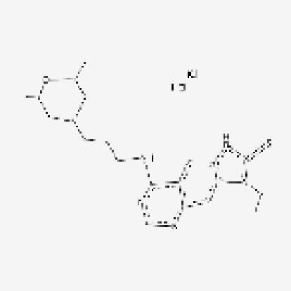 CCn1c(=S)[nH]c2cc3c(NCCCN4CC(C)OC(C)C4)ncnc3cc21.Cl.Cl